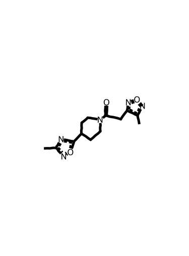 Cc1noc(C2CCN(C(=O)Cc3nonc3C)CC2)n1